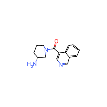 N[C@@H]1CCCN(C(=O)c2cncc3ccccc23)C1